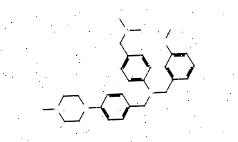 COc1cccc(CN(Cc2ccc(N3CCN(C)CC3)cc2)c2ccc(CN(C)C)cc2)c1